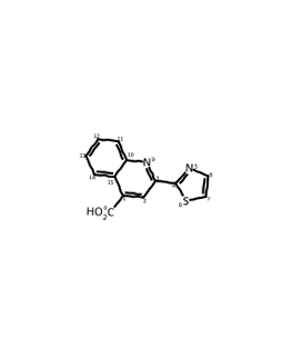 O=C(O)c1cc(-c2nccs2)nc2ccccc12